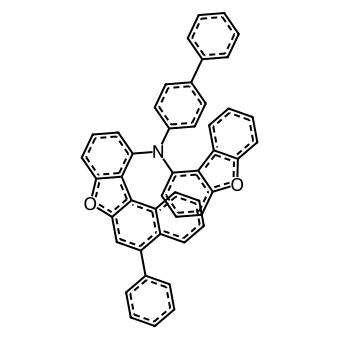 c1ccc(-c2ccc(N(c3cccc4oc5ccccc5c34)c3cccc4oc5cc(-c6ccccc6)c6ccccc6c5c34)cc2)cc1